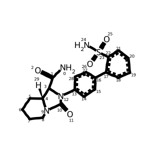 NC(=O)C1[C@H]2[CH]CCCN2C(=O)N1c1ccc(-c2ccccc2S(N)(=O)=O)cc1